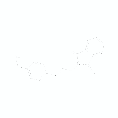 O=C1c2ccccc2C(=O)N1CC=Cc1ccc(CO)cc1